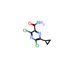 NC(=O)c1nc(C2CC2)c(Cl)nc1Cl